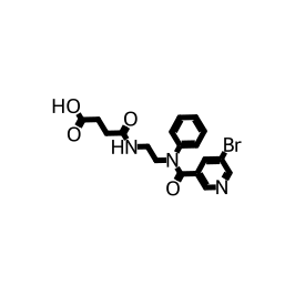 O=C(O)CCC(=O)NCCN(C(=O)c1cncc(Br)c1)c1ccccc1